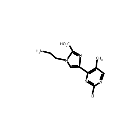 Cc1cnc(Cl)nc1-c1cn(CCN)c(C(=O)O)n1